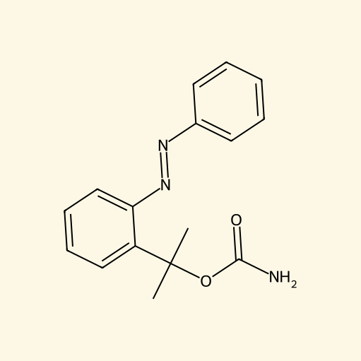 CC(C)(OC(N)=O)c1ccccc1N=Nc1ccccc1